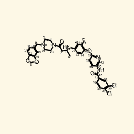 CC(CC(=O)N1CCN(Cc2ccc3c(c2)OCO3)CC1)Nc1ccc(Oc2ccc(NC(=O)c3ccc(Cl)c(Cl)c3)cn2)c(F)c1